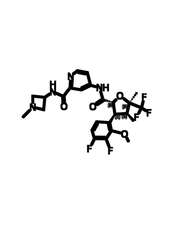 COc1c([C@H]2[C@H](C(=O)Nc3ccnc(C(=O)NC4CN(C)C4)c3)O[C@@](C)(C(F)(F)F)[C@H]2C)ccc(F)c1F